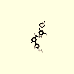 Cc1ccc(C(=O)Nc2cc(CF)cc(CN3CCN(C)CC3)c2)cc1-c1cnc(N)nc1